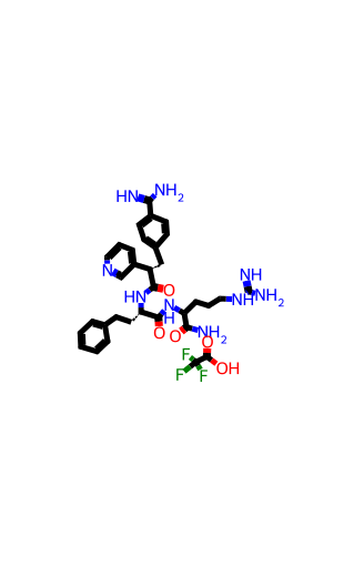 N=C(N)NCCCC(NC(=O)[C@H](CCc1ccccc1)NC(=O)[C@@H](Cc1ccc(C(=N)N)cc1)c1cccnc1)C(N)=O.O=C(O)C(F)(F)F